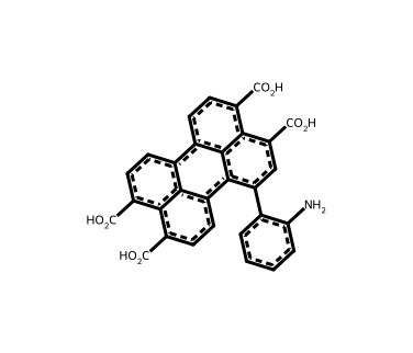 Nc1ccccc1-c1cc(C(=O)O)c2c(C(=O)O)ccc3c4ccc(C(=O)O)c5c(C(=O)O)ccc(c1c23)c54